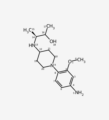 COc1cc(N)ccc1N1CCC(N[C@@H](C)C(C)O)CC1